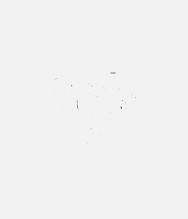 O=C1Oc2ccccc2C(O)(O)C1c1c(-c2cccc3ccccc23)[nH]c2ccc3cn[nH]c3c12